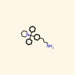 NCCCc1ccc(C(c2ccccc2)(c2ccccc2)N2CCCCC2)cc1